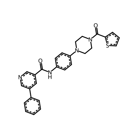 O=C(Nc1ccc(N2CCN(C(=O)c3cccs3)CC2)cc1)c1cncc(-c2ccccc2)c1